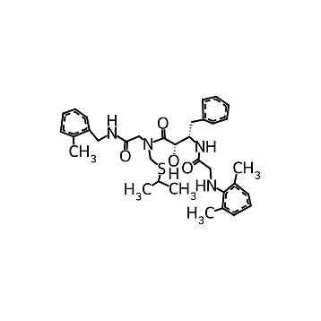 Cc1ccccc1CNC(=O)CN(CSC(C)C)C(=O)[C@@H](O)[C@H](Cc1ccccc1)NC(=O)CNc1c(C)cccc1C